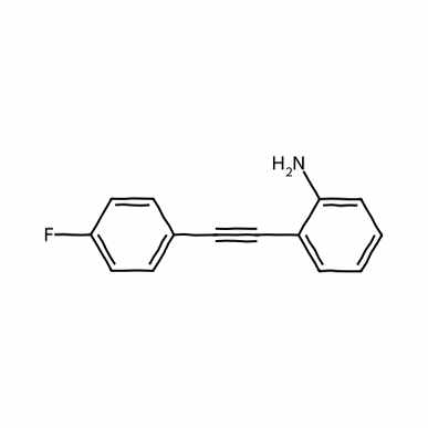 Nc1ccccc1C#Cc1ccc(F)cc1